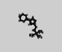 CC(C)(C)OCc1csc(N2CCOCC2)n1